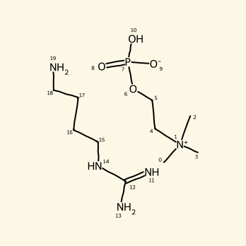 C[N+](C)(C)CCOP(=O)([O-])O.N=C(N)NCCCCN